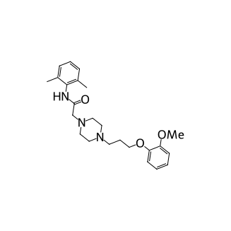 COc1ccccc1OCCCN1CCN(CC(=O)Nc2c(C)cccc2C)CC1